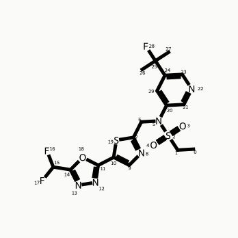 CCS(=O)(=O)N(Cc1ncc(-c2nnc(C(F)F)o2)s1)c1cncc(C(C)(C)F)c1